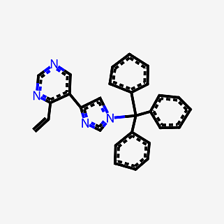 C=Cc1ncncc1-c1cn(C(c2ccccc2)(c2ccccc2)c2ccccc2)cn1